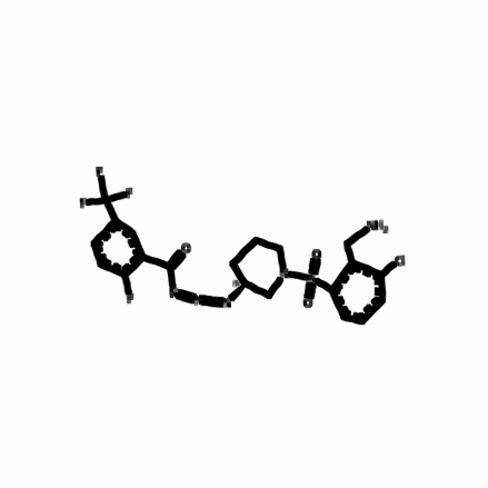 NCc1c(Cl)cccc1S(=O)(=O)N1CCC[C@H](N=[N+]=NC(=O)c2cc(C(F)(F)F)ccc2F)C1